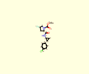 CC(C)(C)OC(=O)N1C[C@H](F)C[C@H]1C(=O)N[C@H]1C[C@@H]1c1ccc(Cl)cc1